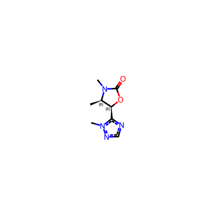 C[C@@H]1[C@H](c2ncnn2C)OC(=O)N1C